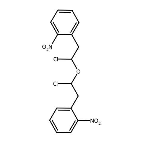 O=[N+]([O-])c1ccccc1CC(Cl)OC(Cl)Cc1ccccc1[N+](=O)[O-]